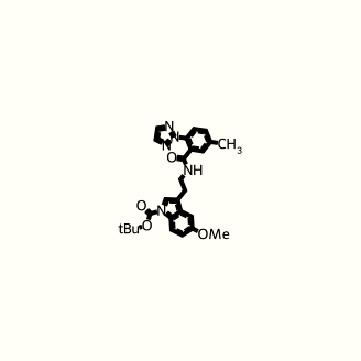 COc1ccc2c(c1)c(CCNC(=O)c1cc(C)ccc1-n1nccn1)cn2C(=O)OC(C)(C)C